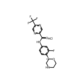 Cl.O=C(Nc1ccc([C@@H]2CNCCO2)c(F)c1)c1cnc(C(F)(F)F)cn1